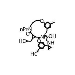 C#CCC1C2C(=O)N[C@H]([C@H](O)CNC3(c4cccc(C#C)c4)CC3)Cc3cc(F)cc(c3)OCCCCN(CCC)C(=O)C12